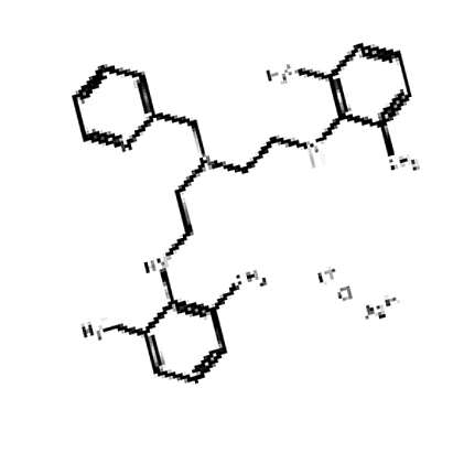 Cc1cccc(C)c1NCCN(CCNc1c(C)cccc1C)Cc1ccccn1.[Ag+2].[Cl-].[Cl-]